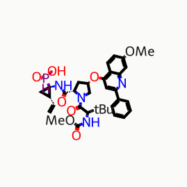 C=C[C@@H]1C[C@]1(NC(=O)[C@@H]1C[C@@H](Oc2cc(-c3ccccc3)nc3cc(OC)ccc23)CN1C(=O)C(NC(=O)OC)C(C)(C)C)[PH](=O)O